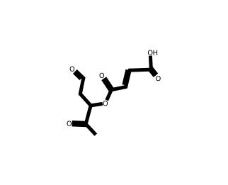 CC(=O)C(CC=O)OC(=O)C=CC(=O)O